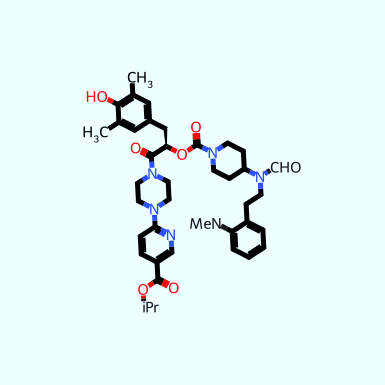 CNc1ccccc1CCN(C=O)C1CCN(C(=O)O[C@H](Cc2cc(C)c(O)c(C)c2)C(=O)N2CCN(c3ccc(C(=O)OC(C)C)cn3)CC2)CC1